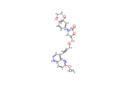 COc1ccc2nccc(C#CCOCC3CN(c4ccc5c(c4)OCCO5)C(=O)O3)c2n1